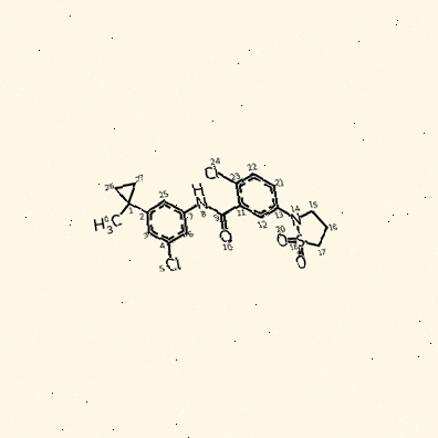 CC1(c2cc(Cl)cc(NC(=O)c3cc(N4CCCS4(=O)=O)ccc3Cl)c2)CC1